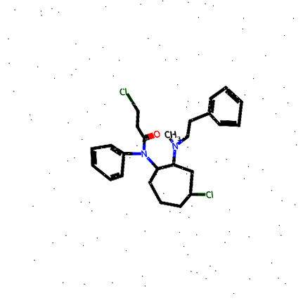 CN(CCc1ccccc1)C1CC(Cl)CCCC1N(C(=O)CCCl)c1ccccc1